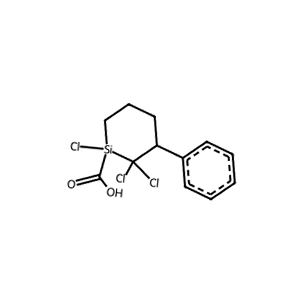 O=C(O)[Si]1(Cl)CCCC(c2ccccc2)C1(Cl)Cl